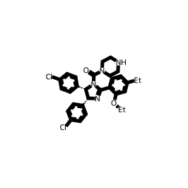 CCOc1cc(CC)ccc1C1=N[C@H](c2ccc(Cl)cc2)[C@H](c2ccc(Cl)cc2)N1C(=O)N1CCNCC1